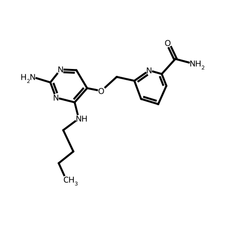 CCCCNc1nc(N)ncc1OCc1cccc(C(N)=O)n1